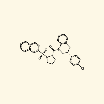 O=C([C@@H]1CCCN1S(=O)(=O)c1ccc2ccccc2c1)N1C[C@@H](c2ccc(Cl)cc2)Sc2ccccc21